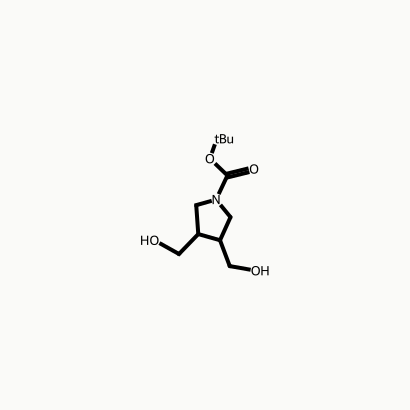 CC(C)(C)OC(=O)N1CC(CO)C(CO)C1